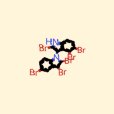 Brc1ccc2c(c1)c(Br)c(Br)n2-c1c(Br)[nH]c2ccc(Br)c(Br)c12